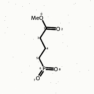 COC(=O)CCCP(=O)=O